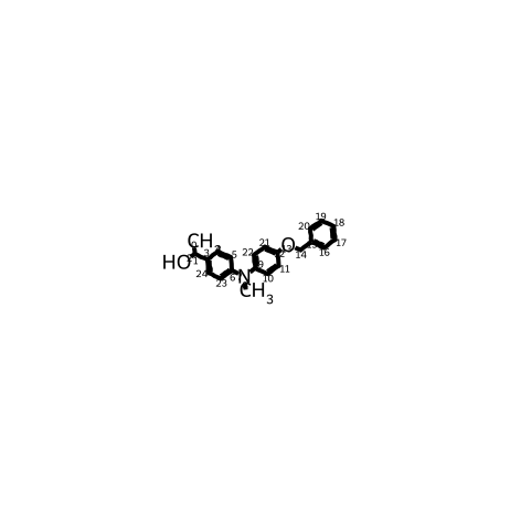 CC(O)c1ccc(N(C)c2ccc(OCc3ccccc3)cc2)cc1